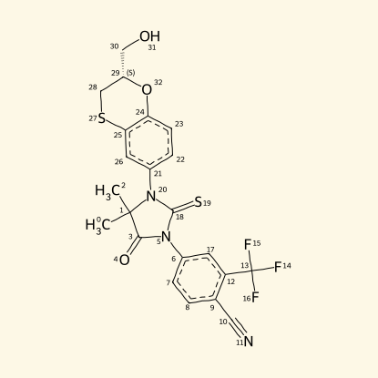 CC1(C)C(=O)N(c2ccc(C#N)c(C(F)(F)F)c2)C(=S)N1c1ccc2c(c1)SC[C@H](CO)O2